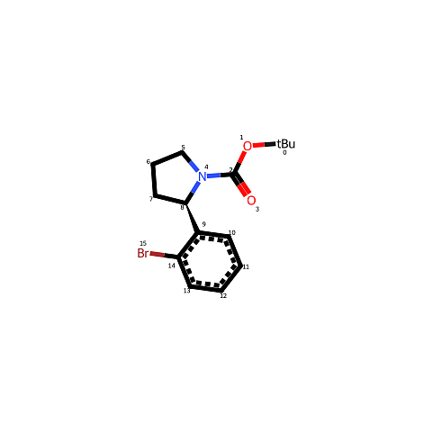 CC(C)(C)OC(=O)N1CCC[C@@H]1c1ccccc1Br